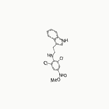 CO[N+](=O)c1cc(Cl)c(NCCc2c[nH]c3ccccc23)c(Cl)c1